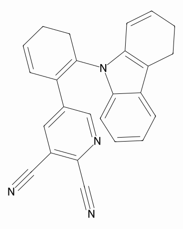 N#Cc1cc(C2=C(n3c4c(c5ccccc53)CCC=C4)CCC=C2)cnc1C#N